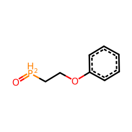 O=[PH2]CCOc1ccccc1